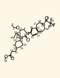 CCOC(CN(C(=O)NC1CCC(CCC(=O)OC)CC1)c1ccc2c(c1)CCN(C(=O)C(F)(F)F)CC2)OCC